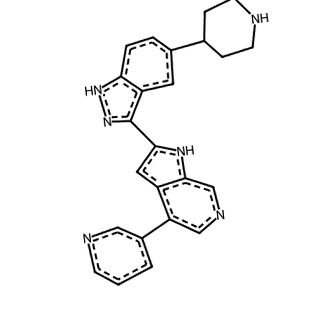 c1cncc(-c2cncc3[nH]c(-c4n[nH]c5ccc(C6CCNCC6)cc45)cc23)c1